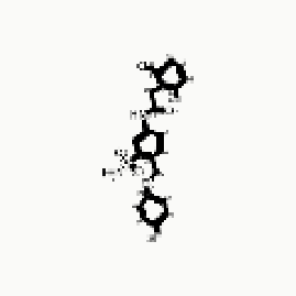 NS(=O)(=O)c1cc(NC(=O)Cc2c(F)cccc2Cl)ccc1COc1ccc(F)cc1